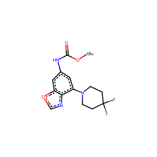 CC(C)(C)OC(=O)Nc1cc(N2CCC(F)(F)CC2)c2ncoc2c1